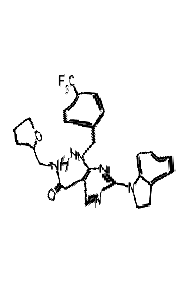 O=C(NCC1CCCO1)c1cnc(N2CCc3ccccc32)nc1NCc1ccc(C(F)(F)F)cc1